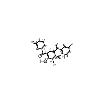 C=C(c1cccc(C)c1)c1cc(C(=O)c2cccc(C)c2)c(O)c(C)c1O